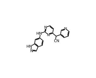 N#CC(c1cccnc1)c1ccnc(Nc2ccc3cn[nH]c3c2)n1